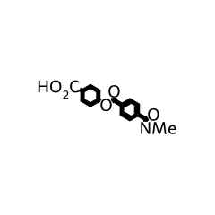 CNC(=O)c1ccc(C(=O)OC2CCC(C(=O)O)CC2)cc1